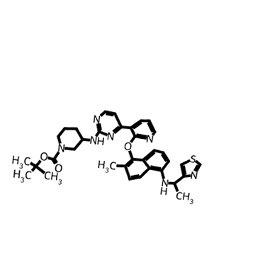 Cc1ccc2c(NC(C)c3cscn3)cccc2c1Oc1ncccc1-c1ccnc(NC2CCCN(C(=O)OC(C)(C)C)C2)n1